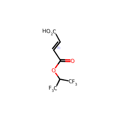 O=C(O)/C=C/C(=O)OC(C(F)(F)F)C(F)(F)F